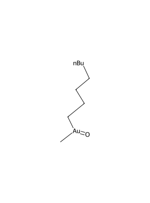 CCCCCCC[CH2][Au]([CH3])=[O]